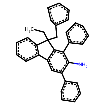 CCC1(Cc2ccccc2)c2ccccc2-c2cc(-c3ccccc3)c(N)c(-c3ccccc3)c21